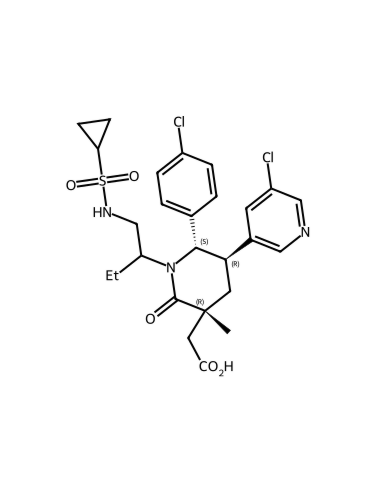 CCC(CNS(=O)(=O)C1CC1)N1C(=O)[C@@](C)(CC(=O)O)C[C@H](c2cncc(Cl)c2)[C@H]1c1ccc(Cl)cc1